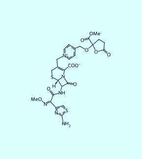 CO/N=C(\C(=O)NC1C(=O)N2C(C(=O)[O-])=C(C[n+]3ccc(COC4(C(=O)OC)CCC(=O)O4)cc3)CS[C@@H]12)c1csc(N)n1